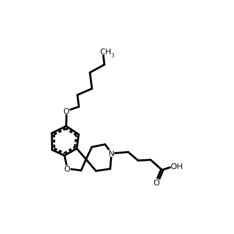 CCCCCCOc1ccc2c(c1)C1(CCN(CCCC(=O)O)CC1)CO2